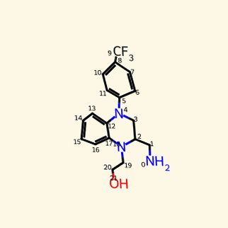 NCC1CN(c2ccc(C(F)(F)F)cc2)c2ccccc2N1CCO